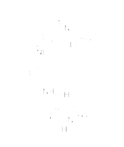 O=C(NCc1ccc(CNCC(O)c2ccc(O)c3[nH]c(=O)ccc23)cc1)c1ccc(C(=O)N2CC(C(=O)O)(c3ccccc3)C2)cc1